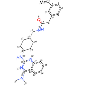 COc1cccc(CC(=O)NC[C@H]2CC[C@@H](Nc3nc(N(C)C)c4ccccc4n3)CC2)c1